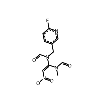 CN(C=O)C(=C[N+](=O)[O-])N(C=O)Cc1ccc(F)nc1